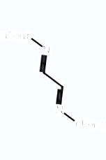 CCCCCN=CC=NCCCCC